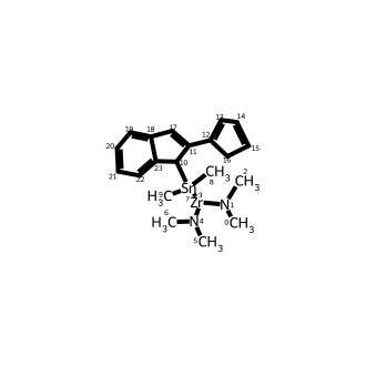 C[N](C)[Zr]([N](C)C)[Sn]([CH3])([CH3])[CH]1C(C2=CC=CC2)=Cc2ccccc21